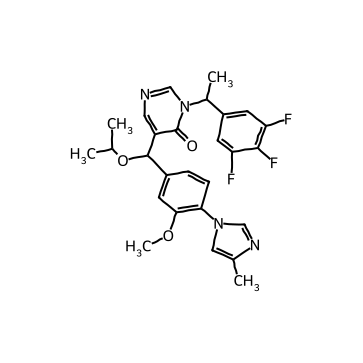 COc1cc(C(OC(C)C)c2cncn(C(C)c3cc(F)c(F)c(F)c3)c2=O)ccc1-n1cnc(C)c1